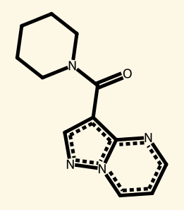 O=C(c1cnn2cccnc12)N1CCCCC1